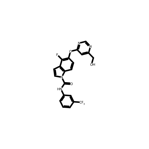 O=C(Nc1cccc(C(F)(F)F)c1)n1ccc2c(F)c(Oc3cc(CO)ncn3)ccc21